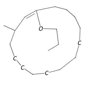 CCCO/C1=C\C(C)CCCCCCCCCCCC1